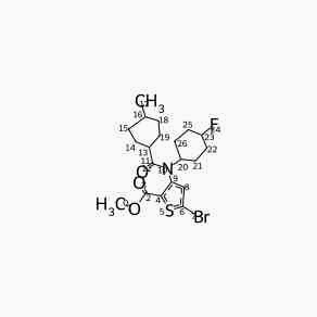 COC(=O)c1sc(Br)cc1N(C(=O)C1CCC(C)CC1)C1CCC(F)CC1